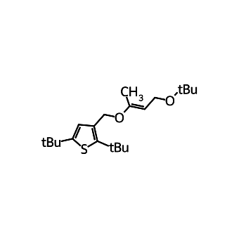 C/C(=C\COC(C)(C)C)OCc1cc(C(C)(C)C)sc1C(C)(C)C